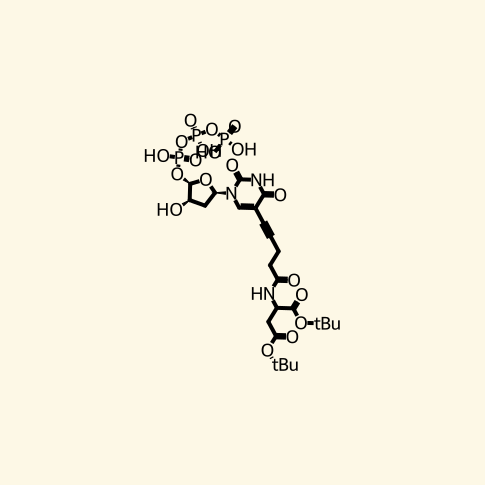 CC(C)(C)OC(=O)CC(NC(=O)CCC#Cc1cn([C@H]2C[C@@H](O)[C@@H](OP(=O)(O)OP(=O)(O)OP(=O)(O)O)O2)c(=O)[nH]c1=O)C(=O)OC(C)(C)C